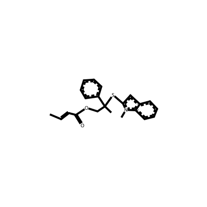 C/C=C/C(=O)OCC(C)(Sc1cc2ccccc2n1C)c1ccccc1